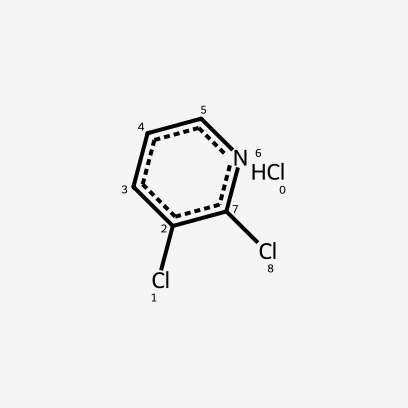 Cl.Clc1cccnc1Cl